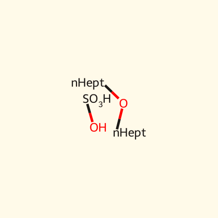 CCCCCCCOCCCCCCC.O=S(=O)(O)O